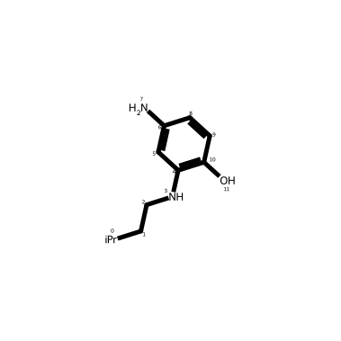 CC(C)CCNc1cc(N)ccc1O